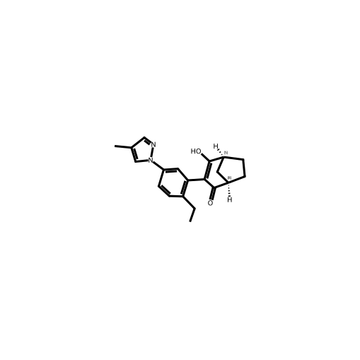 CCc1ccc(-n2cc(C)cn2)cc1C1=C(O)[C@H]2CC[C@H](C2)C1=O